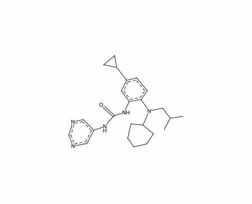 CC(C)CN(c1ccc(C2CC2)cc1NC(=O)Nc1cncnc1)C1CCCCC1